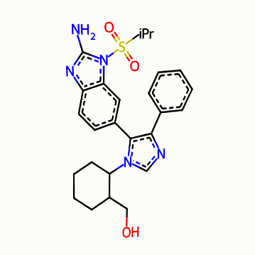 CC(C)S(=O)(=O)n1c(N)nc2ccc(-c3c(-c4ccccc4)ncn3C3CCCCC3CO)cc21